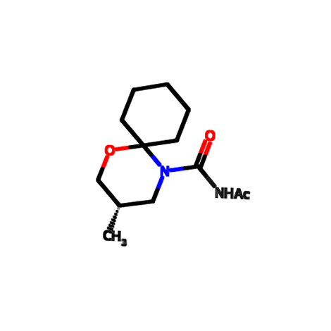 CC(=O)NC(=O)N1C[C@H](C)COC12CCCCC2